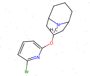 CN1C2CCCC1CC(Oc1cccc(Br)n1)C2